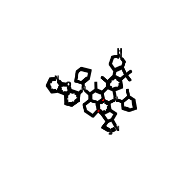 CC1=C(c2c(N(c3cccc4c3CC3N=S=CC43)C3C=CC=CC3C)cc3c(c2C)C2=C(CNCC2)C3(C)C)CC2CCCCC2=C1N(C1=CC=CCC1)c1cccc2c1oc1ncccc12